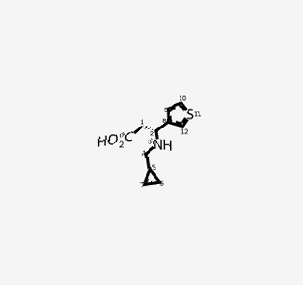 O=C(O)C[C@@H](NCC1CC1)c1ccsc1